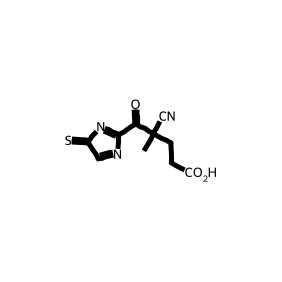 CC(C#N)(CCC(=O)O)C(=O)C1=NC(=S)C=N1